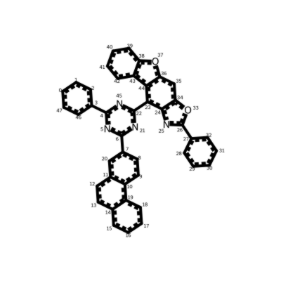 c1ccc(-c2nc(-c3ccc4c(ccc5ccccc54)c3)nc(-c3c4nc(-c5ccccc5)oc4cc4oc5ccccc5c34)n2)cc1